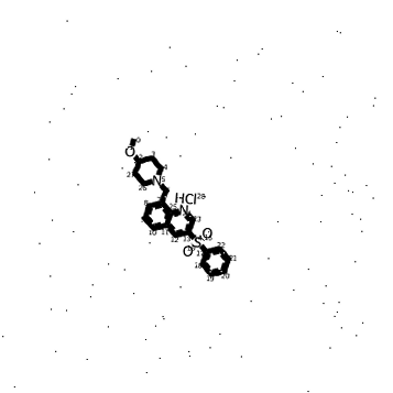 COC1CCN(Cc2cccc3cc(S(=O)(=O)c4ccccc4)cnc23)CC1.Cl